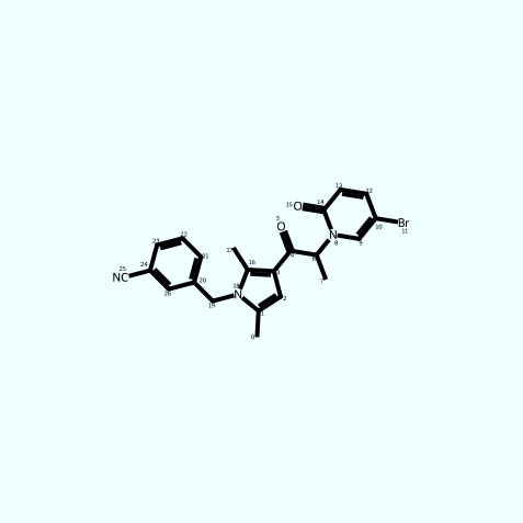 Cc1cc(C(=O)C(C)n2cc(Br)ccc2=O)c(C)n1Cc1cccc(C#N)c1